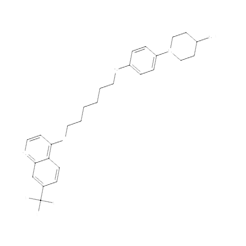 NC1CCN(c2ccc(NCCCCCCSc3ccnc4cc(C(F)(F)F)ccc34)cc2)CC1